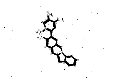 Cc1cc(-c2cc3cn4c(cc3cc2C)cc2ccccc24)[n+](C)cc1C